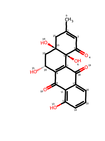 CC1=CC(=O)[C@]2(O)C3=C(C(=O)c4c(O)cccc4C3=O)[C@H](O)C[C@]2(O)C1